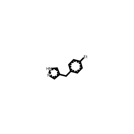 CCc1ccc(Cc2cn[nH]c2)cc1